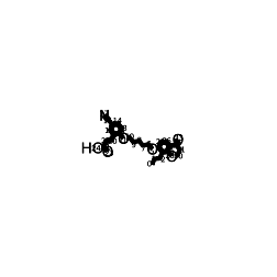 CCCc1c(OCCCCCOc2ccc(C#N)cc2/C=C/C(=O)O)ccc2c1OCCC2=O